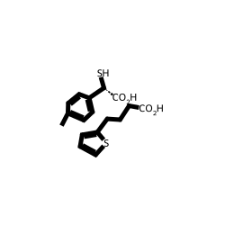 Cc1ccc([C@H](S)C(=O)O)cc1.O=C(O)CCCc1cccs1